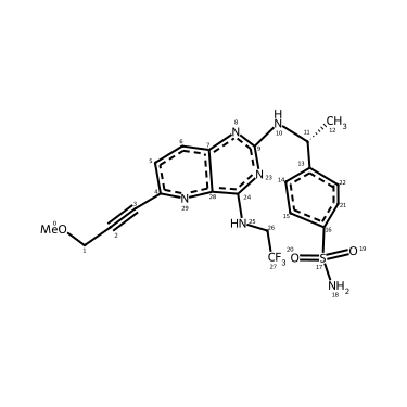 COCC#Cc1ccc2nc(N[C@H](C)c3ccc(S(N)(=O)=O)cc3)nc(NCC(F)(F)F)c2n1